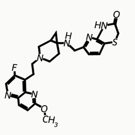 COc1ccc2ncc(F)c(CCN3CCC4(NCc5ccc6c(n5)NC(=O)CS6)CC4C3)c2n1